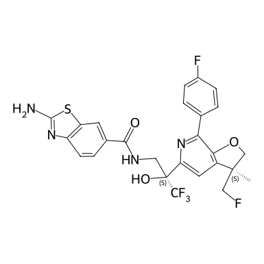 C[C@@]1(CF)COc2c1cc([C@@](O)(CNC(=O)c1ccc3nc(N)sc3c1)C(F)(F)F)nc2-c1ccc(F)cc1